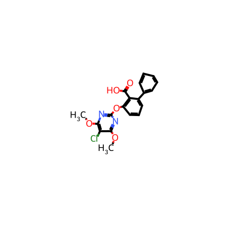 COc1nc(Oc2cccc(-c3ccccc3)c2C(=O)O)nc(OC)c1Cl